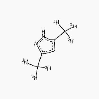 [2H]C([2H])([2H])c1cc(C([2H])([2H])[2H])[nH]n1